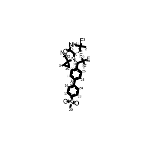 CC(C)(F)C[C@@H](C(N)=O)N([C@@H](c1ccc(-c2ccc(S(C)(=O)=O)cc2)cc1)C(F)(F)F)C1(C#N)CC1